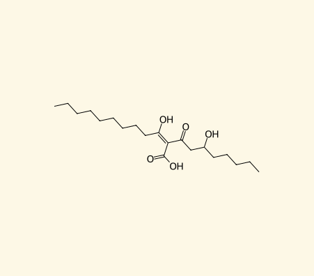 CCCCCCCCCC(O)=C(C(=O)O)C(=O)CC(O)CCCCC